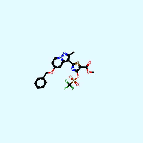 COC(=O)c1sc(-c2c(C)nn3ccc(OCc4ccccc4)cc23)nc1OS(=O)(=O)C(F)(F)F